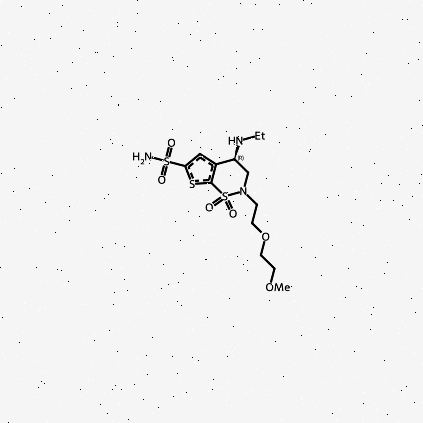 CCN[C@H]1CN(CCOCCOC)S(=O)(=O)c2sc(S(N)(=O)=O)cc21